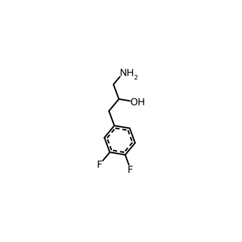 NCC(O)Cc1ccc(F)c(F)c1